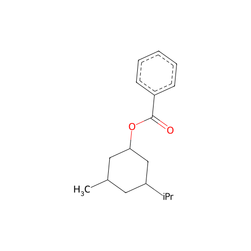 CC1CC(OC(=O)c2ccccc2)CC(C(C)C)C1